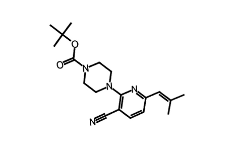 CC(C)=Cc1ccc(C#N)c(N2CCN(C(=O)OC(C)(C)C)CC2)n1